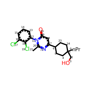 CCCC1(CO)CCC(c2cc(=O)n(-c3cccc(Cl)c3Cl)c(C)n2)CC1